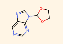 c1ncc2ncn(C3OCCO3)c2n1